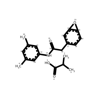 CC(C)C(=O)O.Cc1cc(C)cc(NC(=O)Cc2ccc3c(c2)O3)c1